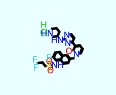 Cc1ccc2c(NS(=O)(=O)CCC(F)F)c(F)ccc2c1Oc1ncccc1-c1ccnc(N[C@H]2CCCNC2)n1.Cl